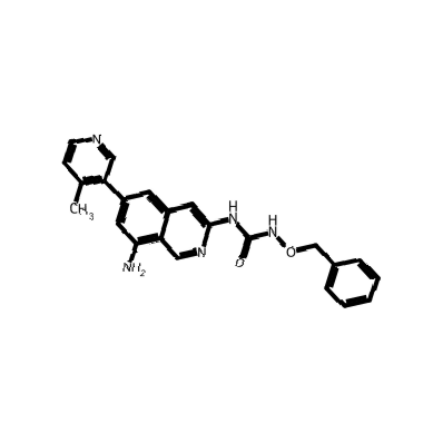 Cc1ccncc1-c1cc(N)c2cnc(NC(=O)NOCc3ccccc3)cc2c1